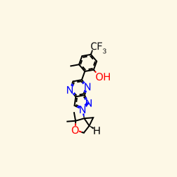 Cc1cc(C(F)(F)F)cc(O)c1-c1cnc2cn([C@@]34C[C@@H]3COC4(C)C)nc2n1